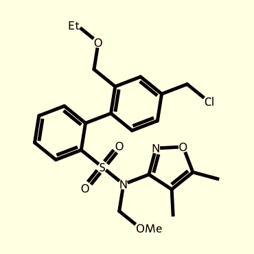 CCOCc1cc(CCl)ccc1-c1ccccc1S(=O)(=O)N(COC)c1noc(C)c1C